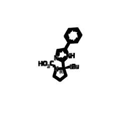 CC(C)(C)[C@@]1(c2ncc(-c3ccccc3)[nH]2)CCCN1C(=O)O